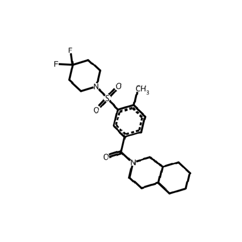 Cc1ccc(C(=O)N2CCC3CCCCC3C2)cc1S(=O)(=O)N1CCC(F)(F)CC1